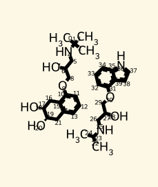 CC(C)(C)NCC(O)COc1cccc2c1C[C@H](O)[C@H](O)C2.CC(C)NCC(O)COc1cccc2[nH]ccc12